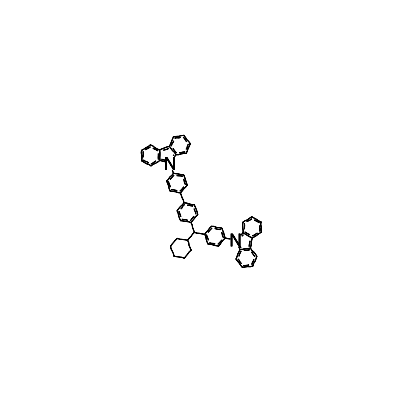 c1ccc2c(c1)c1ccccc1n2-c1ccc(-c2ccc(C(c3ccc(-n4c5ccccc5c5ccccc54)cc3)C3CCCCC3)cc2)cc1